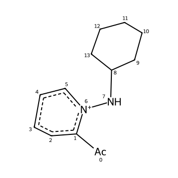 CC(=O)c1cccc[n+]1NC1CCCCC1